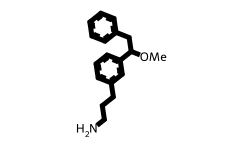 COC(Cc1ccccc1)c1cccc(CCCN)c1